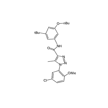 CCCCOc1cc(NC(=O)c2nnn(-c3cc(Cl)ccc3OC)c2C)cc(C(C)(C)C)c1